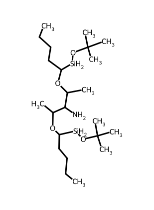 CCCCC(OC(C)C(N)C(C)OC(CCCC)[SiH2]OC(C)(C)C)[SiH2]OC(C)(C)C